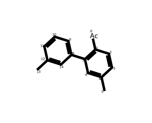 CC(=O)c1ccc(C)cc1-c1cccc(C)c1